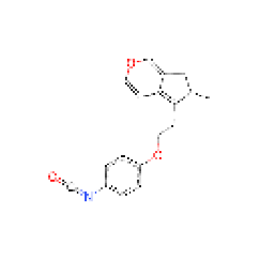 CC1CC2=COC=CC2=C1CCOc1ccc(N=C=O)cc1